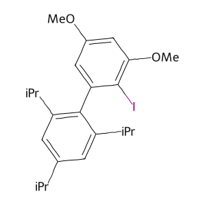 COc1cc(OC)c(I)c(-c2c(C(C)C)cc(C(C)C)cc2C(C)C)c1